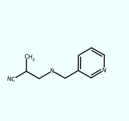 CC(C#N)C[N]Cc1cccnc1